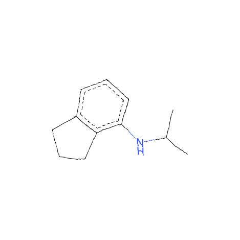 CC(C)Nc1cccc2c1CCC2